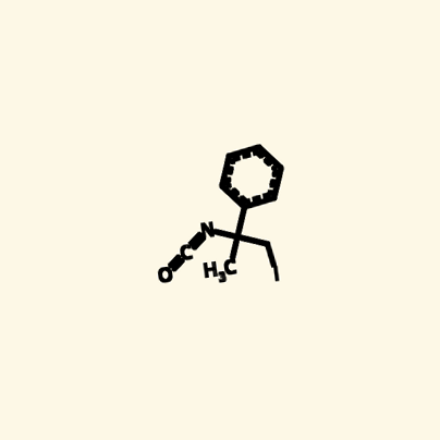 CC(CI)(N=C=O)c1ccccc1